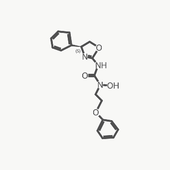 O=C(NC1=N[C@@H](c2ccccc2)CO1)N(O)CCOc1ccccc1